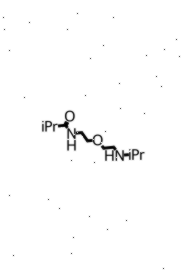 CC(C)NCCOCCNC(=O)C(C)C